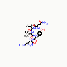 CC[C@@H](C)[C@H](NC(=O)[C@@H](N)CCC(N)=O)C(=O)N[C@H](C(=O)N[C@@H](Cc1ccc(O)cc1)C(=O)N[C@@H](CCCCN)C(N)=O)C(C)C